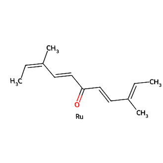 CC=C(C)C=CC(=O)C=CC(C)=CC.[Ru]